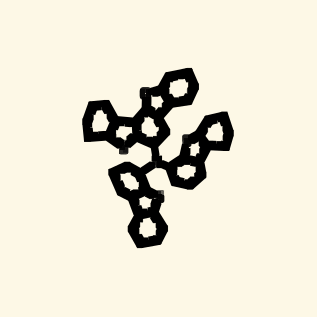 c1ccc2c(c1)oc1c2cc(N(c2cccc3c2sc2ccccc23)c2cccc3c2sc2ccccc23)c2sc3ccccc3c21